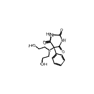 O=C1NC(=O)C(c2ccccc2)(N(CCO)CCO)C(=O)N1